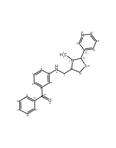 CN1C(CNc2cccc(C(=O)c3ccccc3)c2)CSC1c1cccnc1